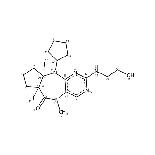 CN1C(=O)[C@H]2CCC[C@H]2N(C2CCCC2)c2nc(NCCO)ncc21